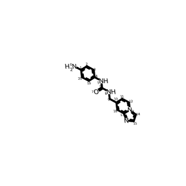 Nc1ccc(NC(=O)NCc2ccn3ccnc3c2)cc1